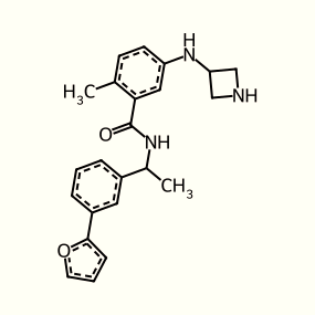 Cc1ccc(NC2CNC2)cc1C(=O)NC(C)c1cccc(-c2ccco2)c1